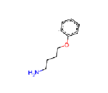 NCCCCOc1[c]cccc1